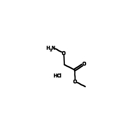 COC(=O)CON.Cl